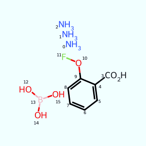 N.N.N.O=C(O)c1ccccc1OF.OB(O)O